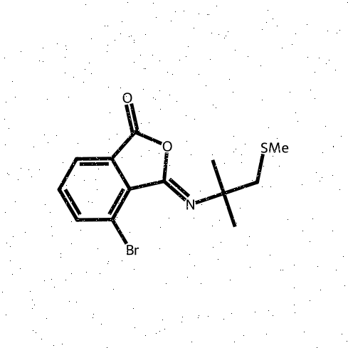 CSCC(C)(C)N=C1OC(=O)c2cccc(Br)c21